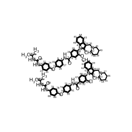 COc1cc(C(=O)Nc2ccc(Oc3ccc(NC(=O)NC(C)C)cc3)cc2)ccc1-n1c(C)c(CN2CCCCC2)c2ccccc21.Cc1c(CN2CCCCC2)c2ccccc2n1-c1ccc(C(=O)Nc2ccc(Oc3ccc(NC(=O)NC(C)C)cc3)cc2)cc1Cl